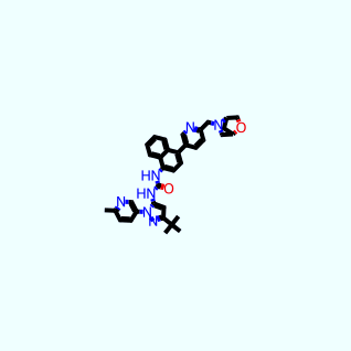 Cc1ccc(-n2nc(C(C)(C)C)cc2NC(=O)Nc2ccc(-c3ccc(CN4CC5CC4CO5)nc3)c3ccccc23)cn1